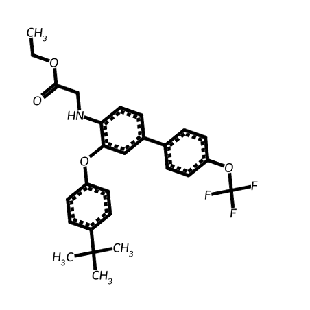 CCOC(=O)CNc1ccc(-c2ccc(OC(F)(F)F)cc2)cc1Oc1ccc(C(C)(C)C)cc1